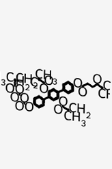 C=C(C)C(=O)CCC(=O)Oc1ccc(-c2cc(OC(=O)C(=C)C)c(-c3ccc(OC(=O)OC(=O)OC(=O)C(=C)C)cc3)cc2OC(=O)C(=C)C)cc1